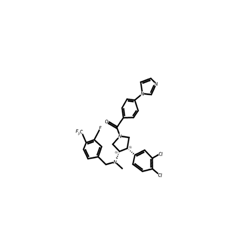 CN(Cc1ccc(C(F)(F)F)c(F)c1)[C@@H]1CN(C(=O)c2ccc(-n3ccnc3)cc2)C[C@@H]1c1ccc(Cl)c(Cl)c1